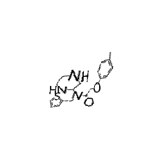 Cc1ccc(OCC(=O)N(Cc2cccs2)C2CNCCN2)cc1